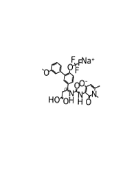 COc1cccc(-c2cc([C@H](CC(=O)O)NC(=O)Nc3c([O-])cc(C)n(C)c3=O)ccc2OC(F)(F)F)c1.[Na+]